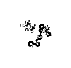 CN(c1cccc2cc(-c3ncc(CN4CCCC4c4ccccn4)s3)[nH]c12)S(=O)(=O)c1cccs1.O=C(O)C(F)(F)F.O=C(O)C(F)(F)F